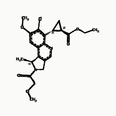 CCOC(=O)[C@@H]1C[C@H]1c1c(Cl)c(OC)cc2c3c(cnc12)CN(C(=O)COC)[C@H]3C